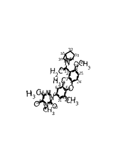 C=C(c1cc(Oc2c(C)cc(-n3nc(C)c(=O)n(C)c3=O)cc2C)ccc1OC)N1CC2CCC1C2